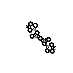 C1=CC(N(c2cccc3oc4ccccc4c23)c2ccc3c4cc5c(cc4n4c6ccccc6c2c34)c2ccc(N(c3ccccc3)c3cccc4oc6ccccc6c34)c3c4ccccc4n5c23)=CCC1